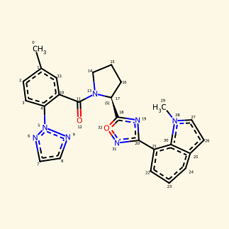 Cc1ccc(-n2nccn2)c(C(=O)N2CCC[C@H]2c2nc(-c3cccc4ccn(C)c34)no2)c1